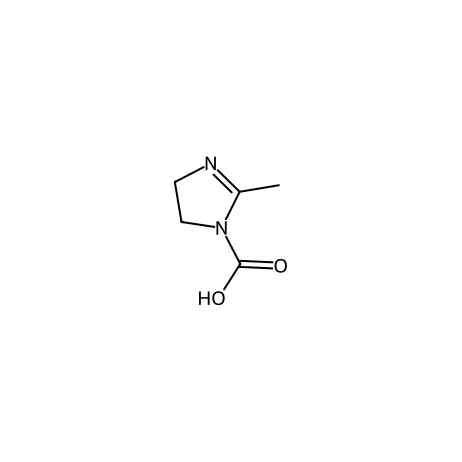 CC1=NCCN1C(=O)O